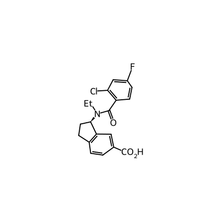 CCN(C(=O)c1ccc(F)cc1Cl)[C@@H]1CCc2ccc(C(=O)O)cc21